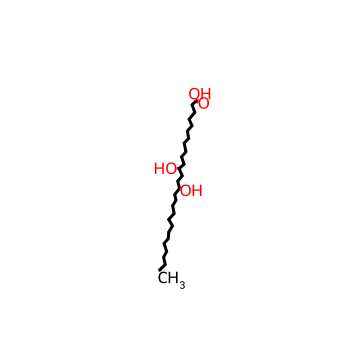 CCCCCCCCCCCCCCC(O)CCC(O)CCCCCCCCCCC(=O)O